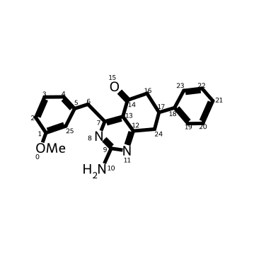 COc1cccc(Cc2nc(N)nc3c2C(=O)CC(c2ccccc2)C3)c1